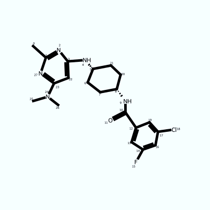 Cc1nc(N[C@H]2CC[C@@H](NC(=O)c3cc(F)cc(Cl)c3)CC2)cc(N(C)C)n1